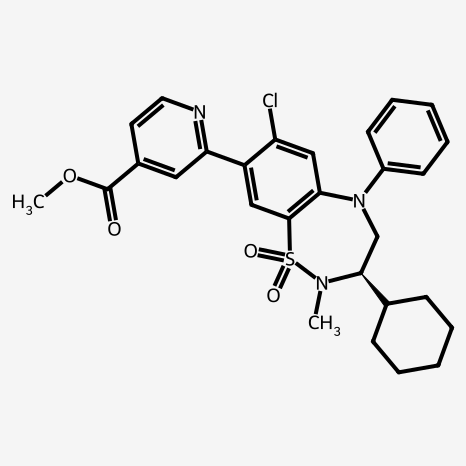 COC(=O)c1ccnc(-c2cc3c(cc2Cl)N(c2ccccc2)C[C@@H](C2CCCCC2)N(C)S3(=O)=O)c1